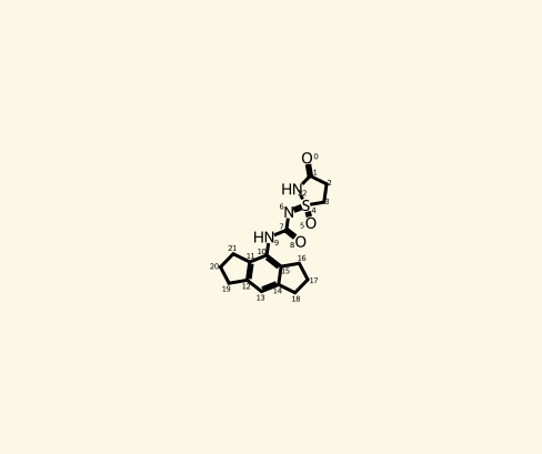 O=C1CCS(=O)(=NC(=O)Nc2c3c(cc4c2CCC4)CCC3)N1